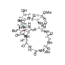 CC[C@H](C)[C@@H]1NC(=O)CNC(=O)[C@@H]2Cc3c([nH]c4ccccc34)SC[C@H](NC(=O)CNC1=O)C(=O)N[C@@H](CC(=O)OC)C(=O)N1CC(O)C[C@H]1C(=O)N[C@@H]([C@@H](C)CC)C(=O)N2